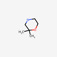 CC1(C)C[N]CCO1